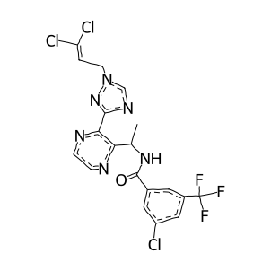 CC(NC(=O)c1cc(Cl)cc(C(F)(F)F)c1)c1nccnc1-c1ncn(CC=C(Cl)Cl)n1